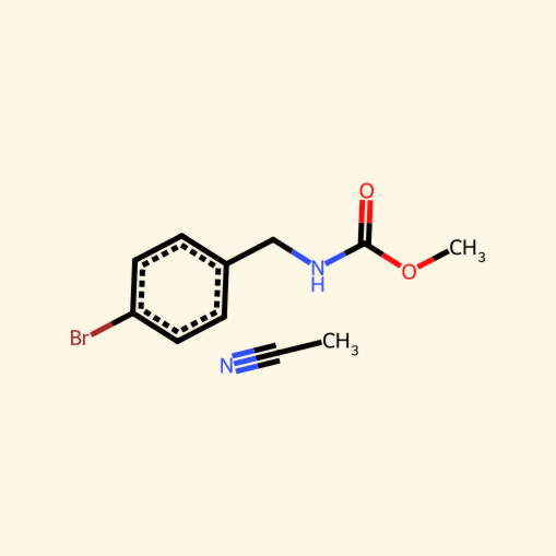 CC#N.COC(=O)NCc1ccc(Br)cc1